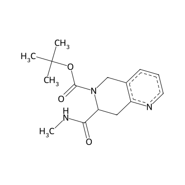 CNC(=O)C1Cc2ncccc2CN1C(=O)OC(C)(C)C